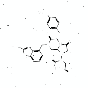 C=CCN(C(=O)NC)N1CC(=O)N2[C@@H](Cc3ccc(OC)cc3)C(=O)N(Cc3cccc4sc(N)nc34)C[C@@H]21